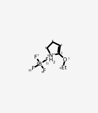 CCOC1=CCC[NH2+]1.F[B-](F)(F)F